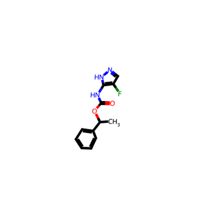 CC(OC(=O)Nc1[nH]ncc1F)c1ccccc1